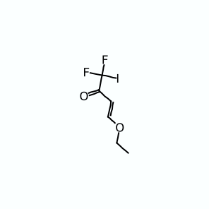 CCO/C=C/C(=O)C(F)(F)I